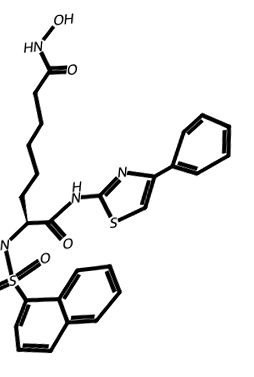 O=C(CCCCC[C@H](NS(=O)(=O)c1cccc2ccccc12)C(=O)Nc1nc(-c2ccccc2)cs1)NO